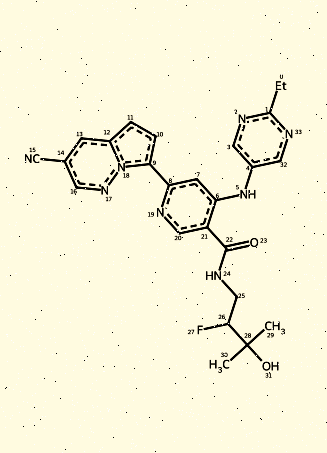 CCc1ncc(Nc2cc(-c3ccc4cc(C#N)cnn34)ncc2C(=O)NCC(F)C(C)(C)O)cn1